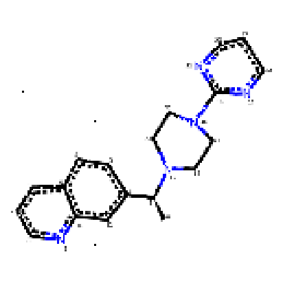 C[C@@H](c1ccc2cccnc2c1)N1CCN(c2ncccn2)CC1